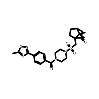 Cc1nc(-c2ccc(C(=O)N3CCN(S(=O)(=O)CC45CCC(CC4=O)C5(C)C)CC3)cc2)no1